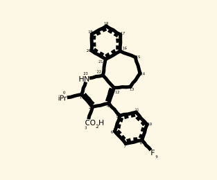 CC(C)C1=C(C(=O)O)C(c2ccc(F)cc2)=C2CCCc3ccccc3C2N1